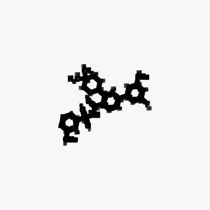 COc1cccc(S(=O)(=O)NC(=O)c2ccc(-c3cc(F)cc(OCC(C)C)c3)nc2C2CCC(C)(C)CC2)n1